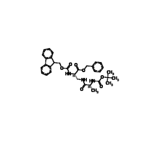 C[C@@H](NC(=O)OC(C)(C)C)C(=O)NC[C@H](NC(=O)OCC1c2ccccc2-c2ccccc21)C(=O)OCc1ccccc1